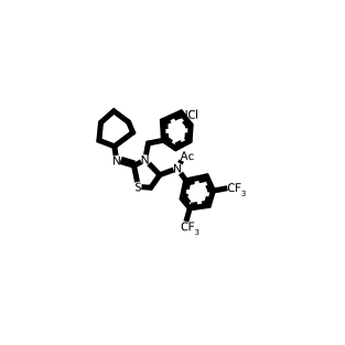 CC(=O)N(c1cc(C(F)(F)F)cc(C(F)(F)F)c1)C1CSC(=NC2CCCCC2)N1Cc1ccccc1.Cl